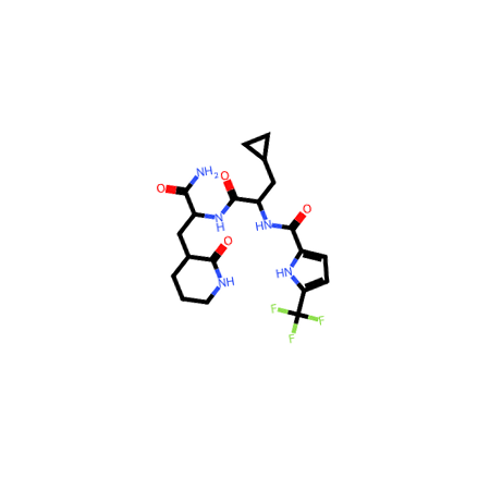 NC(=O)C(CC1CCCNC1=O)NC(=O)C(CC1CC1)NC(=O)c1ccc(C(F)(F)F)[nH]1